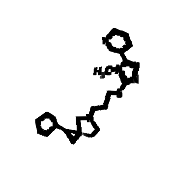 Cn1c(SCCCN2CC[C@@]3(C[C@H]3c3ccccc3)C2)nnc1-c1cccnc1